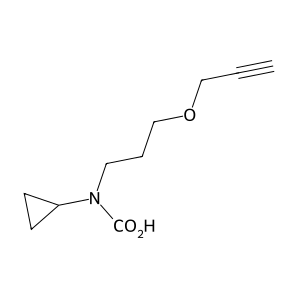 C#CCOCCCN(C(=O)O)C1CC1